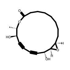 C[C@@H]1OC(=O)CCCCCCC[C@H]2O[C@H]2[C@H](O)C#CC#C[C@H]1O